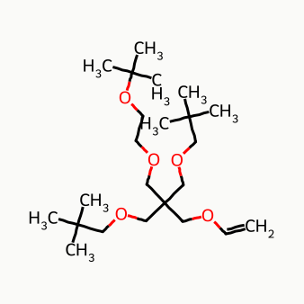 C=COCC(COCCOC(C)(C)C)(COCC(C)(C)C)COCC(C)(C)C